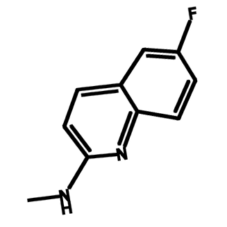 CNc1ccc2cc(F)ccc2n1